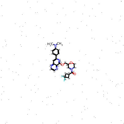 CN(C)c1ccc(-c2cc3nccnc3c(OCC3CN(C(=O)C4CC(F)(F)C4)CCO3)n2)cc1